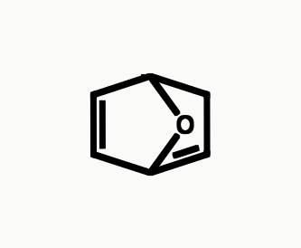 C1=CC2=CC[C]1O2